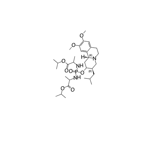 COc1cc2c(cc1OC)[C@H]1CC(OP(=O)(NC(C)C(=O)OC(C)C)NC(C)C(=O)OC(C)C)[C@H](CC(C)C)CN1CC2